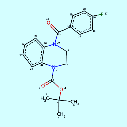 CC(C)(C)OC(=O)N1CCN(C(=O)c2ccc(F)cc2)c2ccccc21